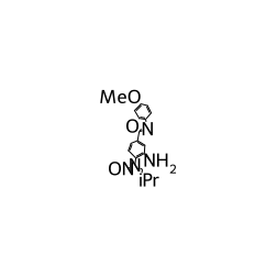 COc1ccc2nc(-c3ccc(N(CC(C)C)N=O)c(N)c3)oc2c1